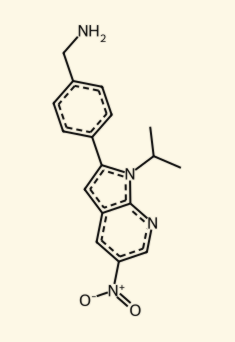 CC(C)n1c(-c2ccc(CN)cc2)cc2cc([N+](=O)[O-])cnc21